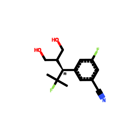 CC(C)(F)[C@H](c1cc(F)cc(C#N)c1)C(CO)CO